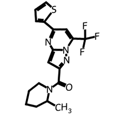 CC1CCCCN1C(=O)c1cc2nc(-c3cccs3)cc(C(F)(F)F)n2n1